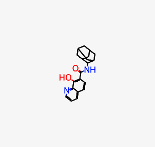 O=C(NC1C2CC3CC(C2)CC1C3)c1ccc2cccnc2c1O